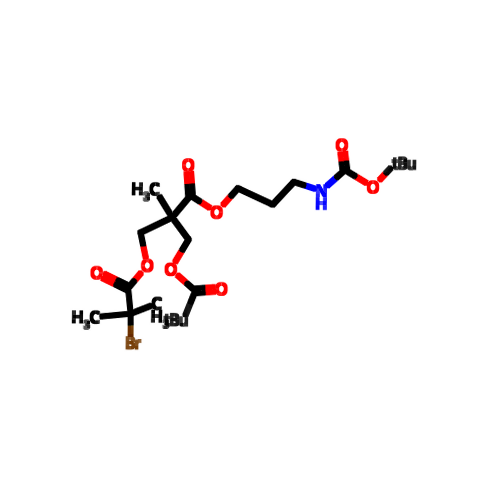 CC(C)(C)OC(=O)NCCCOC(=O)C(C)(COC(=O)C(C)(C)C)COC(=O)C(C)(C)Br